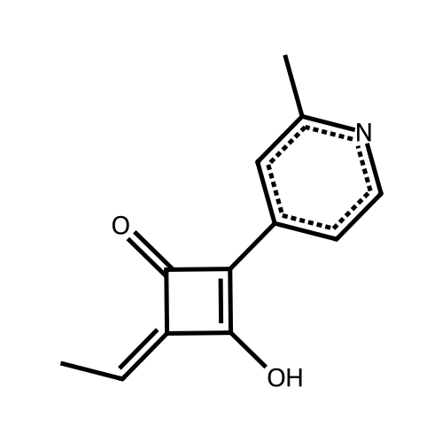 CC=C1C(=O)C(c2ccnc(C)c2)=C1O